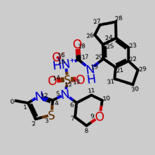 Cc1csc(N(C2CCOCC2)S(=O)(=O)[NH+]([O-])C(=O)Nc2c3c(cc4c2CCC4)CCC3)n1